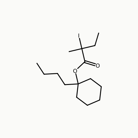 CCCCC1(OC(=O)C(C)(I)CC)CCCCC1